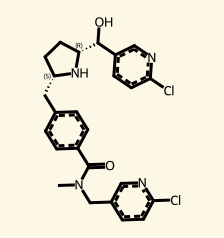 CN(Cc1ccc(Cl)nc1)C(=O)c1ccc(C[C@@H]2CC[C@H](C(O)c3ccc(Cl)nc3)N2)cc1